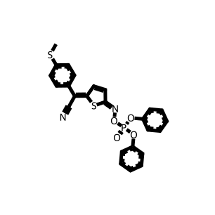 CSc1ccc(C(C#N)=C2C=CC(=NOP(=O)(Oc3ccccc3)Oc3ccccc3)S2)cc1